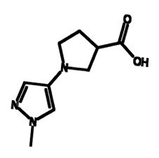 Cn1cc(N2CCC(C(=O)O)C2)cn1